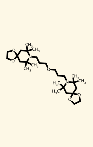 CC1(C)CC2(CC(C)(C)N1CCCOCCCN1C(C)(C)CC3(CC1(C)C)OCCO3)OCCO2